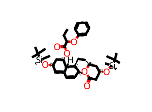 CCC(Oc1ccccc1)C(=O)O[C@H]1C[C@H](O[Si](C)(C)C(C)(C)C)C=C2C=C[C@H](C)[C@H](CC[C@@H]3C[C@@H](O[Si](C)(C)C(C)(C)C)CC(=O)O3)[C@H]21